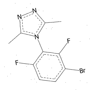 Cc1nnc(C)n1-c1c(F)ccc(Br)c1F